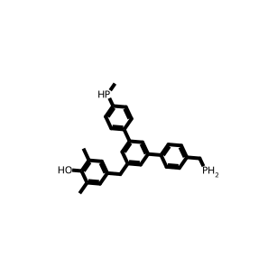 CPc1ccc(-c2cc(Cc3cc(C)c(O)c(C)c3)cc(-c3ccc(CP)cc3)c2)cc1